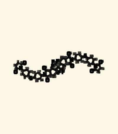 O=C1C=CC(=O)N1c1ccc(Sc2ccc(N3C(=O)c4ccc(C(c5ccc6c(c5)C(=O)N(c5ccc(Sc7ccc(N8C(=O)C=CC8=O)cc7)cc5)C6=O)(C(F)(F)F)C(F)(F)F)cc4C3=O)cc2)cc1